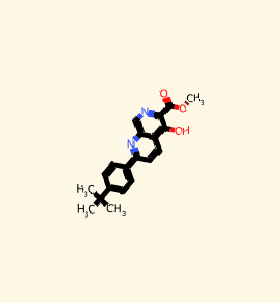 COC(=O)c1ncc2nc(-c3ccc(C(C)(C)C)cc3)ccc2c1O